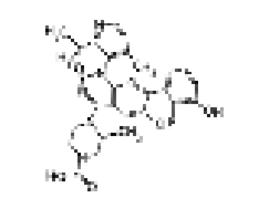 Cc1ccnc(C(C)C)c1-n1c(=O)nc(N2CCN(C(=O)O)C[C@@H]2C)c2cc(Cl)c(-c3cccc(O)c3F)nc21